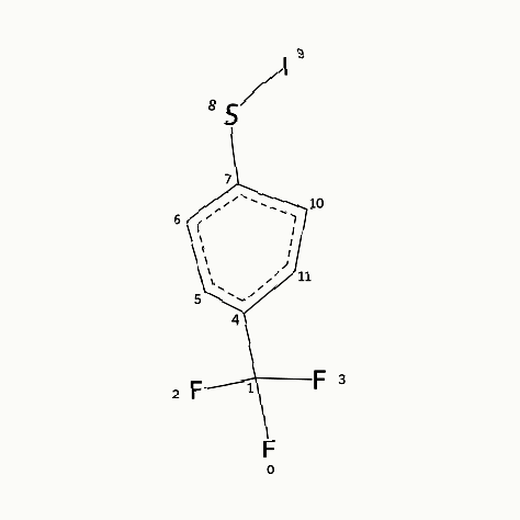 FC(F)(F)c1ccc(SI)cc1